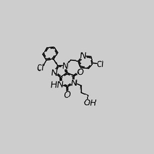 O=c1[nH]c2nc(-c3ccccc3Cl)n(Cc3ccc(Cl)cn3)c2c(=O)n1CCCO